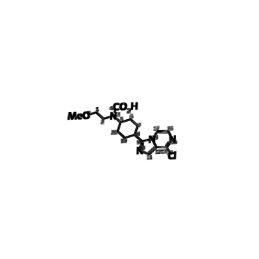 COCCN(C(=O)O)C1CCC(c2ncc3c(Cl)nccn23)CC1